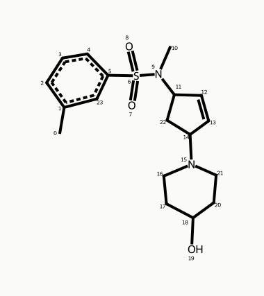 Cc1cccc(S(=O)(=O)N(C)C2C=CC(N3CCC(O)CC3)C2)c1